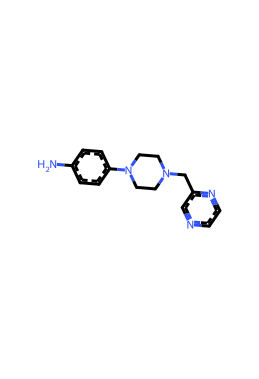 Nc1ccc(N2CCN(Cc3cnccn3)CC2)cc1